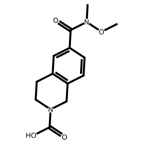 CON(C)C(=O)c1ccc2c(c1)CCN(C(=O)O)C2